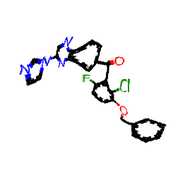 O=C(c1ccc2ncc(-n3ccnc3)nc2c1)c1c(F)ccc(OCc2ccccc2)c1Cl